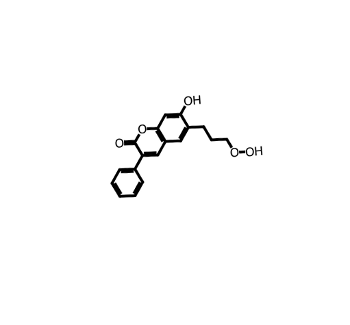 O=c1oc2cc(O)c(CCCOO)cc2cc1-c1ccccc1